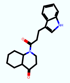 O=C1CCN(C(=O)CCc2c[nH]c3ccccc23)C2CCCCC12